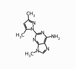 Cc1cc(C)n(-c2nc(N)c3ncn(C)c3n2)n1